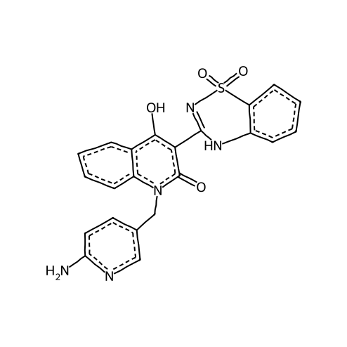 Nc1ccc(Cn2c(=O)c(C3=NS(=O)(=O)c4ccccc4N3)c(O)c3ccccc32)cn1